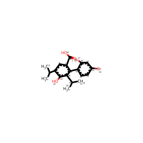 CC(C)c1cc(C(=O)O)c(-c2ccc(Br)cc2Br)c(C(C)C)c1O